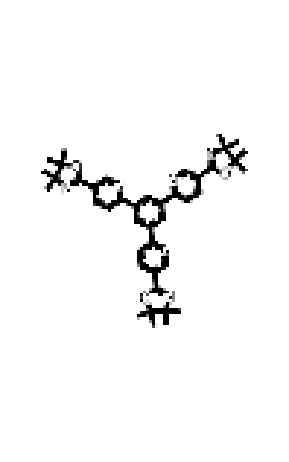 CC1(C)N=C(c2ccc(-c3cc(-c4ccc(C5=NC(C)(C)C(C)(C)O5)cn4)cc(-c4ccc(C5=NC(C)(C)C(C)(C)O5)cn4)c3)nc2)OC1(C)C